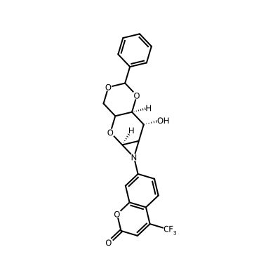 O=c1cc(C(F)(F)F)c2ccc(N3C4[C@@H](O)[C@@H]5OC(c6ccccc6)OCC5O[C@@H]43)cc2o1